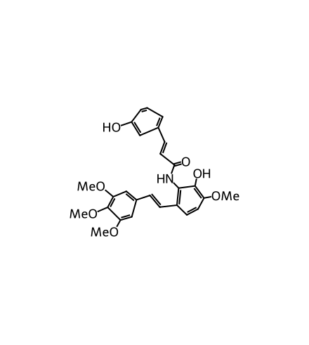 COc1ccc(C=Cc2cc(OC)c(OC)c(OC)c2)c(NC(=O)C=Cc2cccc(O)c2)c1O